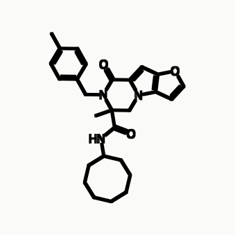 Cc1ccc(CN2C(=O)c3cc4occc4n3CC2(C)C(=O)NC2CCCCCCC2)cc1